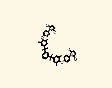 Cc1cc(C(C)(C)c2cccc(C(C)(C)c3cc(C)c(Oc4ccc(N5C(=O)C=CC5=O)cc4)c(C)c3)c2)cc(C)c1Oc1ccc(N2C(=O)C=CC2=O)cc1